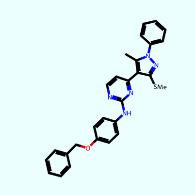 CSc1nn(-c2ccccc2)c(C)c1-c1ccnc(Nc2ccc(OCc3ccccc3)cc2)n1